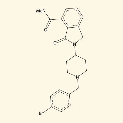 CNC(=O)c1cccc2c1C(=O)N(C1CCN(Cc3ccc(Br)cc3)CC1)C2